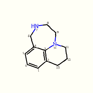 c1cc2c3c(c1)CNCCN3CCC2